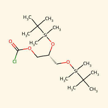 CC(C)(C)[Si](C)(C)OC[C@H](COC(=O)Cl)O[Si](C)(C)C(C)(C)C